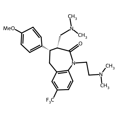 COc1ccc([C@H]2Cc3cc(C(F)(F)F)ccc3N(CCN(C)C)C(=O)[C@H]2CN(C)C)cc1